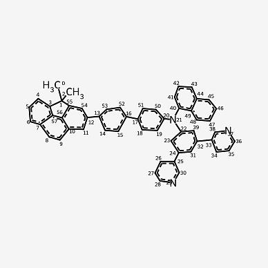 CC1(C)c2cccc3ccc4cc(-c5ccc(-c6ccc(N(c7cc(-c8cccnc8)cc(-c8cccnc8)c7)c7cccc8ccccc78)cc6)cc5)cc1c4c23